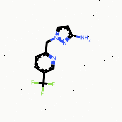 Nc1ccn(Cc2ccc(C(F)(F)F)cn2)n1